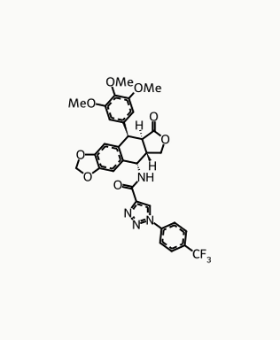 COc1cc([C@@H]2c3cc4c(cc3[C@@H](NC(=O)c3cn(-c5ccc(C(F)(F)F)cc5)nn3)[C@H]3COC(=O)[C@H]23)OCO4)cc(OC)c1OC